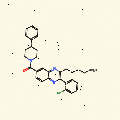 O=C(O)CCCCc1nc2cc(C(=O)N3CCC(c4ccccc4)CC3)ccc2nc1-c1ccccc1Cl